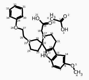 CC(=O)O.COc1ccc2[nH]c3c(c2c1)CCN(CC(=O)O)C31CCN(CCOc2ccccc2)C1